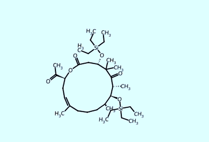 CC[Si](CC)(CC)O[C@H]1[C@@H](C)CCCC(C)=CC[C@@H](C(C)=O)OC(=O)C[C@H](O[Si](CC)(CC)CC)C(C)(C)C(=O)[C@@H]1C